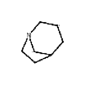 [CH]1CC2[CH]N(C1)CC2